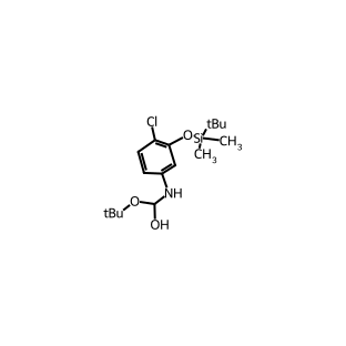 CC(C)(C)OC(O)Nc1ccc(Cl)c(O[Si](C)(C)C(C)(C)C)c1